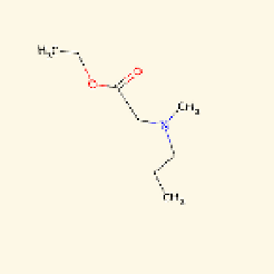 CCCN(C)CC(=O)OCC